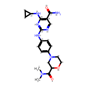 CN(C)C(=O)C1CN(c2ccc(Nc3ncc(C(N)=O)c(NC4CC4)n3)cc2)CCO1